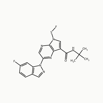 CC(C)(C)NC(=O)c1cn(SF)c2ncc(-n3ncc4ccc(F)cc43)nc12